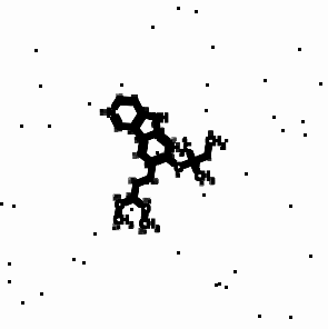 [CH2]CC(C)(C)Oc1cc2[nH]c3ccncc3c2cc1CCC(OC)OC